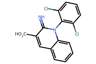 N=c1c(C(=O)O)cc2ccccc2n1-c1c(Cl)cccc1Cl